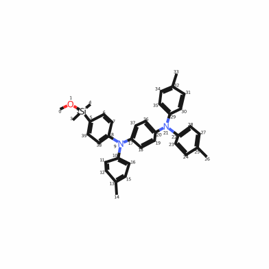 CO[Si](C)(C)c1ccc(N(c2ccc(C)cc2)c2ccc(N(c3ccc(C)cc3)c3ccc(C)cc3)cc2)cc1